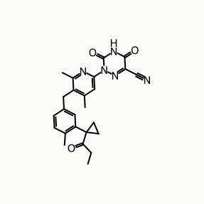 CCC(=O)C1(c2cc(Cc3c(C)cc(-n4nc(C#N)c(=O)[nH]c4=O)nc3C)ccc2C)CC1